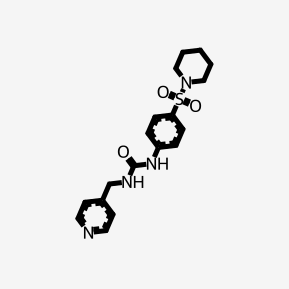 O=C(NCc1ccncc1)Nc1ccc(S(=O)(=O)N2CCCCC2)cc1